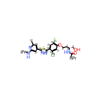 CCCC(=O)N[C@@H](CO)CCOc1cc(Cl)c(-c2nnc(-c3cc(C)nc(NC(C)C)c3)s2)cc1F